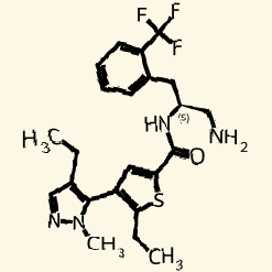 CCc1cnn(C)c1-c1cc(C(=O)N[C@H](CN)Cc2ccccc2C(F)(F)F)sc1CC